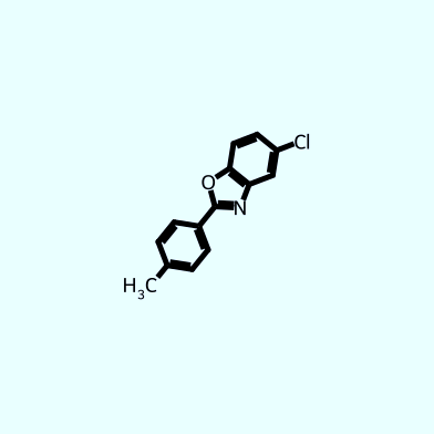 Cc1ccc(-c2nc3cc(Cl)ccc3o2)cc1